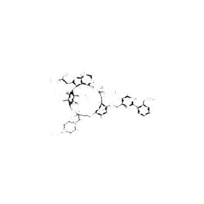 COc1ccccc1-c1nccc(COc2ccc3cc2C[C@H](C(=O)O)Oc2ncnc4sc(C=C(C)C)c(c24)-c2c(C)c(Cl)c(c(Cl)c2C)O[C@H](CN2CCN(C)CC2)CO3)n1